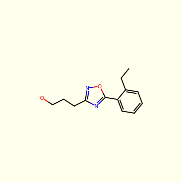 CCc1ccccc1-c1nc(CCC[O])no1